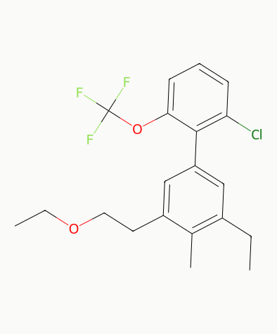 CCOCCc1cc(-c2c(Cl)cccc2OC(F)(F)F)cc(CC)c1C